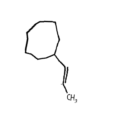 C[C]=CC1CCCCCC1